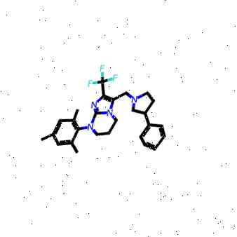 Cc1cc(C)c(N2CCCn3c2nc(C(F)(F)F)c3CN2CCC(c3ccccc3)C2)c(C)c1